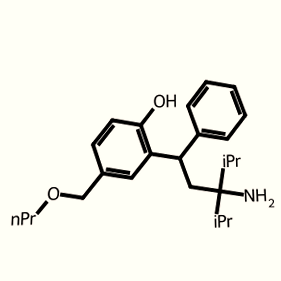 CCCOCc1ccc(O)c(C(CC(N)(C(C)C)C(C)C)c2ccccc2)c1